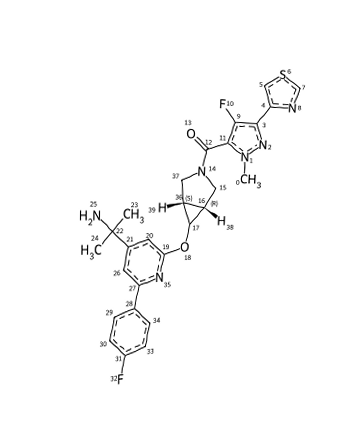 Cn1nc(-c2cscn2)c(F)c1C(=O)N1C[C@@H]2C(Oc3cc(C(C)(C)N)cc(-c4ccc(F)cc4)n3)[C@@H]2C1